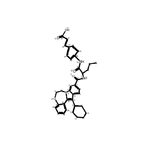 CCCC(NC(=O)c1ccc2c(C3CCCCC3)c3n(c2c1)CCOc1ccccc1-3)C(=O)Nc1ccc(/C=C/C(=O)O)cc1